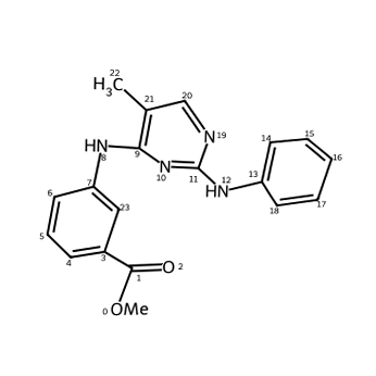 COC(=O)c1cccc(Nc2nc(Nc3ccccc3)ncc2C)c1